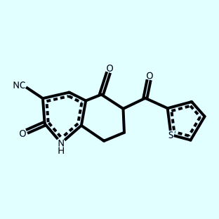 N#Cc1cc2c([nH]c1=O)CCC(C(=O)c1cccs1)C2=O